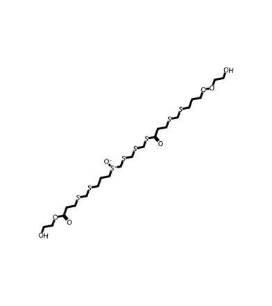 O=C(CCSCSCCC[S+]([O-])CSCSCSC(=O)CCSCSCCCOOCCO)OCCO